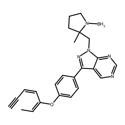 BN1CCCC1(C)Cn1nc(-c2ccc(OC(/C=C\C#C)=C/C)cc2)c2cncnc21